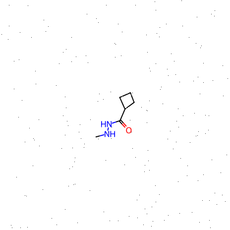 CNNC(=O)C1CCC1